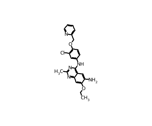 CCOc1cc2nc(C)nc(Nc3ccc(OCc4ccccn4)c(Cl)c3)c2cc1N